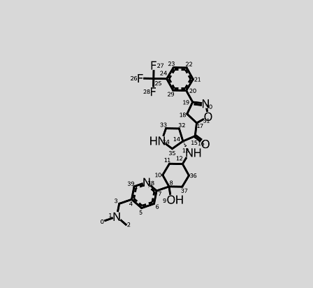 CN(C)Cc1ccc(C2(O)CCC(N[C@@]3(C(=O)C4CC(c5cccc(C(F)(F)F)c5)=NO4)CCNC3)CC2)nc1